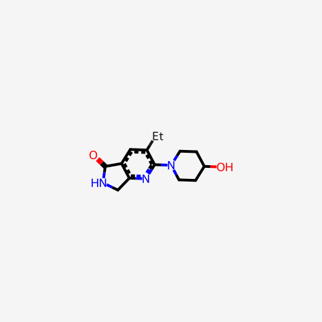 CCc1cc2c(nc1N1CCC(O)CC1)CNC2=O